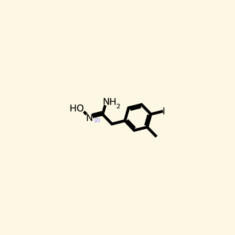 Cc1cc(C/C(N)=N/O)ccc1I